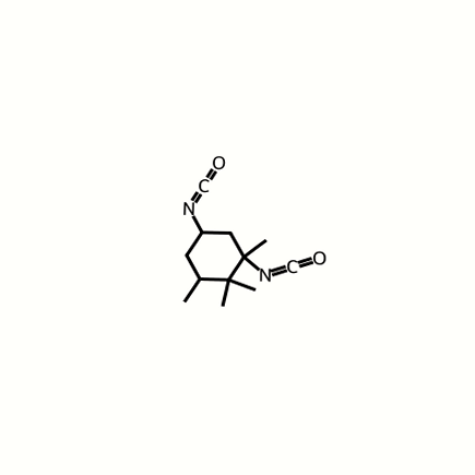 CC1CC(N=C=O)CC(C)(N=C=O)C1(C)C